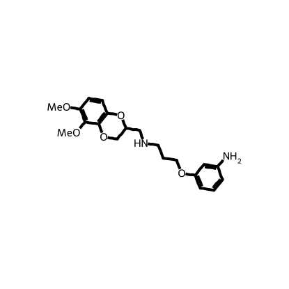 COc1ccc2c(c1OC)OCC(CNCCCOc1cccc(N)c1)O2